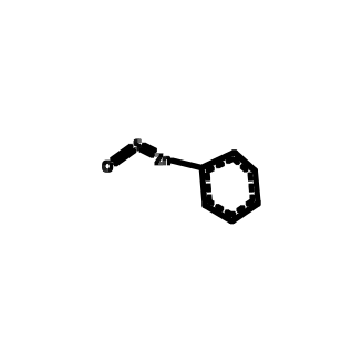 O=[S]=[Zn][c]1ccccc1